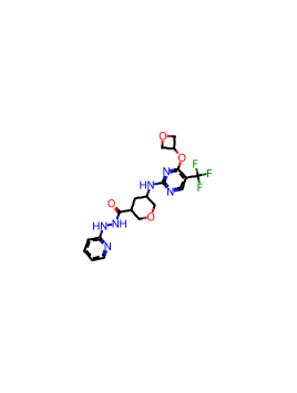 O=C(NNc1ccccn1)C1COCC(Nc2ncc(C(F)(F)F)c(OC3COC3)n2)C1